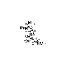 CN[C@@H](C)C(=O)N[C@H](C(=O)N1CCC[C@H]1CN(C(=O)CN)C(C)C)C(C)(C)C